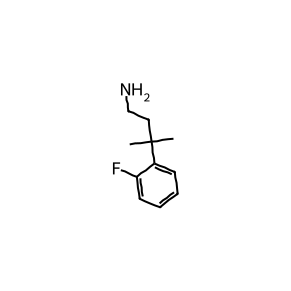 CC(C)(CCN)c1ccccc1F